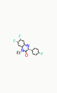 CCn1c(=O)c(-c2ccc(F)cc2)nc2cc(F)c(F)cc21